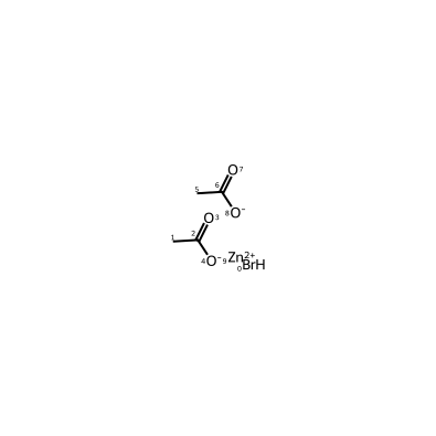 Br.CC(=O)[O-].CC(=O)[O-].[Zn+2]